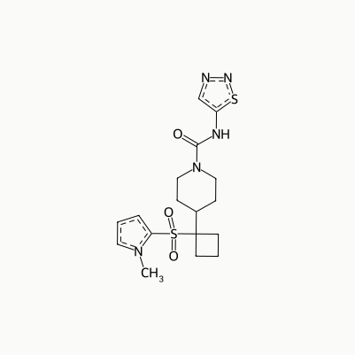 Cn1cccc1S(=O)(=O)C1(C2CCN(C(=O)Nc3cnns3)CC2)CCC1